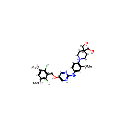 COc1cc(Nc2ncc(OCc3c(F)c(OC)cc(OC)c3F)cn2)ccc1N1CCC(CO)(CO)CC1